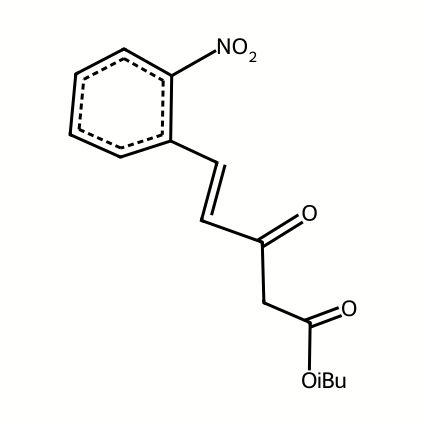 CC(C)COC(=O)CC(=O)C=Cc1ccccc1[N+](=O)[O-]